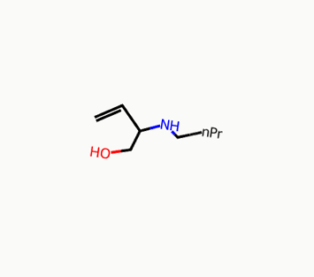 C=CC(CO)NCCCC